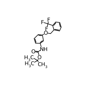 CC(C)(C)OC(=O)Nc1cccc(OCc2ccccc2C(F)(F)F)c1